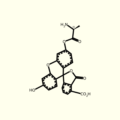 C[C@H](N)C(=O)Oc1ccc2c(c1)Oc1cc(O)ccc1C21OC(=O)c2c(C(=O)O)cccc21